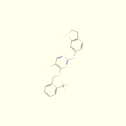 FC(F)(F)c1ccccc1CNc1nc(Nc2ccc3c(c2)NCC3)ncc1Cl